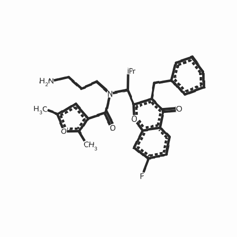 Cc1cc(C(=O)N(CCCN)C(c2oc3cc(F)ccc3c(=O)c2Cc2ccccc2)C(C)C)c(C)o1